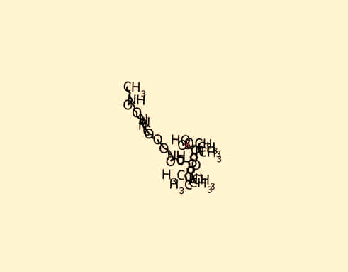 C/C=C/CNC(=O)CCOCc1cn(CCOCCOCCOCCNC(=O)c2ccc(C3=c4cc5c(cc4Oc4cc6c(cc43)C(CS(=O)(=O)O)=CC(C)(C)N6C)=[N+](C)C(C)(C)C=C5C)cc2)nn1